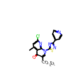 CCOC(=O)c1cn(-c2nc(-c3ccncc3)ns2)c2nc(Cl)cc(C)c2c1=O